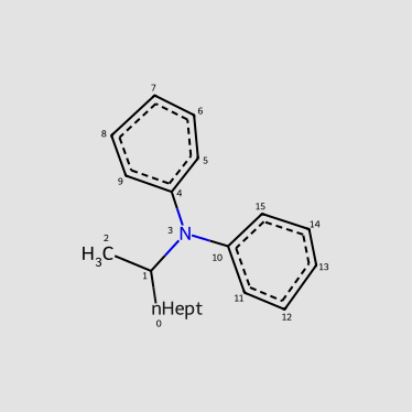 CCCCCCCC(C)N(c1ccccc1)c1ccccc1